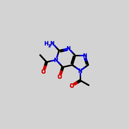 CC(=O)n1c(N)nc2ncn(C(C)=O)c2c1=O